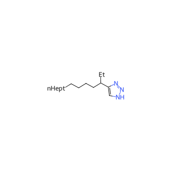 [CH2]CC(CCCCCCCCCCC)c1c[nH]nn1